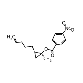 C=CCCC[C@@H]1C[C@@]1(C)OC(=O)c1ccc([N+](=O)[O-])cc1